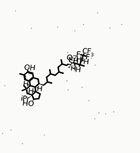 [2H]C([2H])([S+]([O-])CC(C)CC(C)CC(C)CC(C)C[C@@H]1Cc2cc(O)c(C)cc2[C@@H]2[C@@H]1[C@@H]1CC[C@H](O)[C@@]1(C(C)C)CC2(C)C)C([2H])(C)C([2H])([2H])C(F)(F)C(F)(F)F